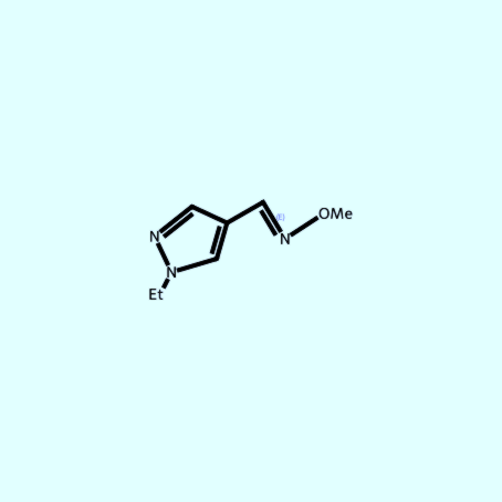 CCn1cc(/C=N/OC)cn1